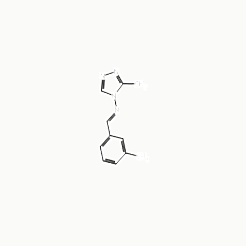 Cc1cccc(C=Nn2cnnc2C)c1